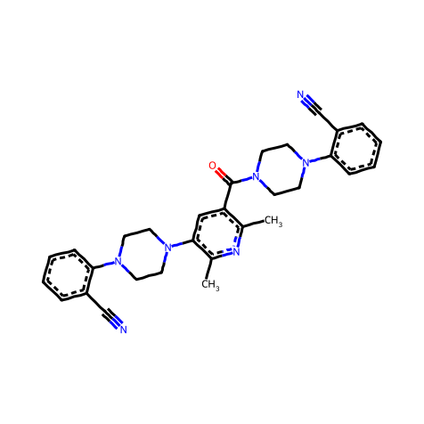 Cc1nc(C)c(N2CCN(c3ccccc3C#N)CC2)cc1C(=O)N1CCN(c2ccccc2C#N)CC1